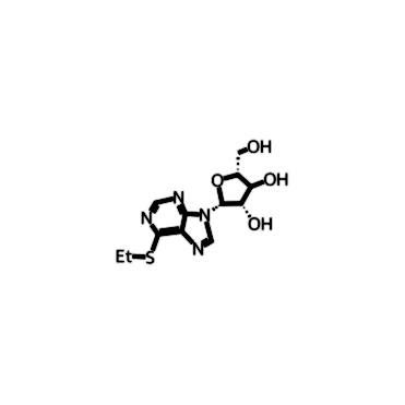 CCSc1ncnc2c1ncn2[C@@H]1O[C@H](CO)C(O)[C@@H]1O